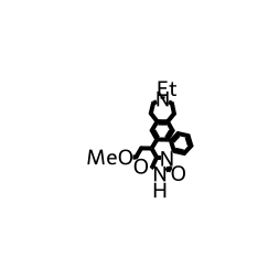 CCN1CCc2ccc(C(CC(=O)OC)C3CNC(=O)N3c3ccccc3)cc2CC1